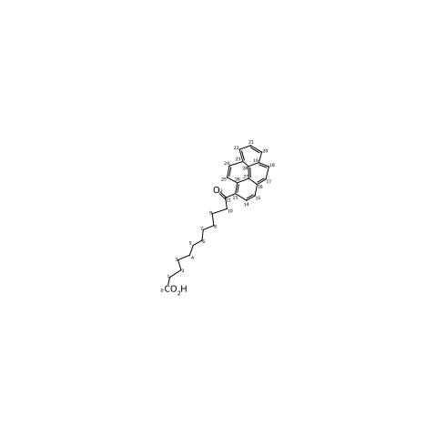 O=C(O)CCCCCCCCCCC(=O)c1ccc2ccc3cccc4ccc1c2c34